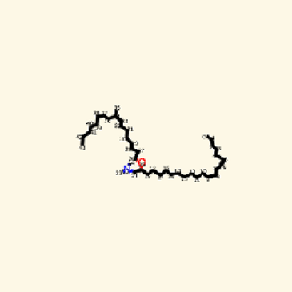 CCCCC/C=C\C/C=C\CCCCCCCCCCC(CN(C)C)OCCCCCCCCC(C)C/C=C\CCCCC